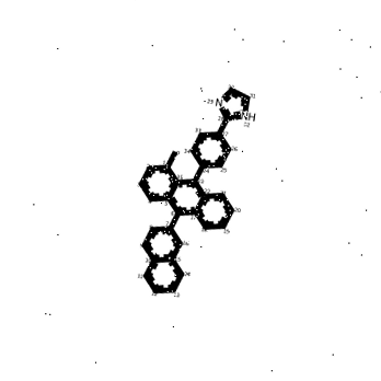 Cc1cccc2c(-c3ccc4ccccc4c3)c3ccccc3c(-c3ccc(-c4ncc[nH]4)cc3)c12